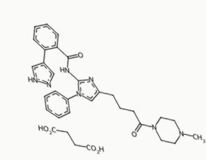 CN1CCN(C(=O)CCCc2cn(-c3ccccc3)c(NC(=O)c3ccccc3-c3cn[nH]c3)n2)CC1.O=C(O)CCC(=O)O